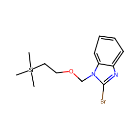 C[Si](C)(C)CCOCn1c(Br)nc2ccccc21